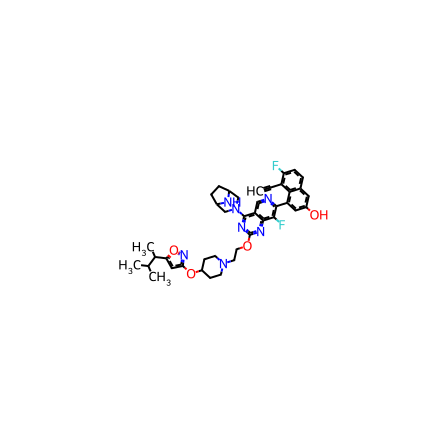 C#Cc1c(F)ccc2cc(O)cc(-c3ncc4c(N5CC6CCC(C5)N6)nc(OCCN5CCC(Oc6cc(C(C)C(C)C)on6)CC5)nc4c3F)c12